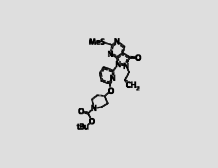 C=CCn1c(=O)c2cnc(SC)nc2n1-c1cccc(OC2CCN(C(=O)OC(C)(C)C)CC2)n1